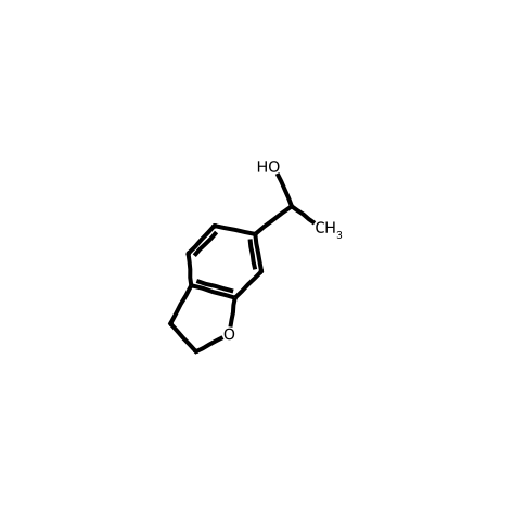 CC(O)c1ccc2c(c1)OCC2